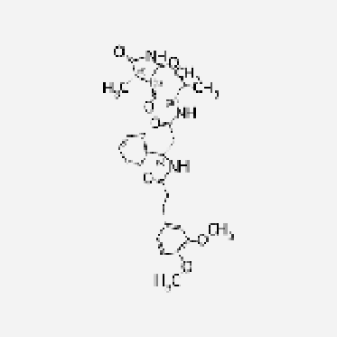 COc1ccc(CCC(=O)N[C@@H](CC(=O)N[C@H](C(=O)[C@@H]2C(=O)NC(=O)[C@H]2C)C(C)C)c2ccccc2)cc1OC